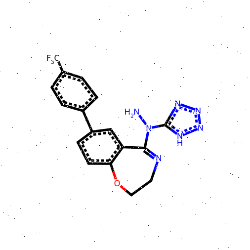 NN(C1=NCCOc2ccc(-c3ccc(C(F)(F)F)cc3)cc21)c1nnn[nH]1